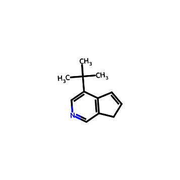 CC(C)(C)c1cncc2c1C=CC2